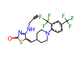 C#CCNC1=NC(=O)SC1=CC1CCN(c2ccc(C(F)(F)F)cc2C(F)(F)F)CC1